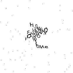 COCCN1C[C@@H](NC(=O)Nc2cc(-c3ccccn3)nn2C)[C@H](c2cc(F)cc(F)c2)C1